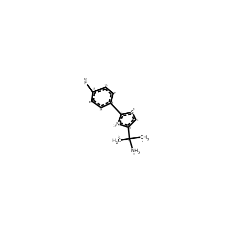 CC(C)(N)c1csc(-c2ccc(F)cc2)n1